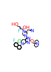 N#CC[C@H]1CN(c2nc(OCC34CCCN3CCC4)nc3c2CCN(c2cccc4ccc(F)c(Cl)c24)C3)CCN1C(O)/C(F)=C/CO